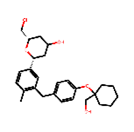 Cc1ccc([C@H]2CC(O)C[C@@H](CO)O2)cc1Cc1ccc(OC2(CO)CCCCC2)cc1